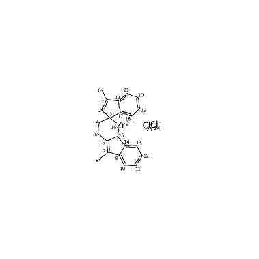 CC1=C[C]2(CCC3=C(C)c4ccccc4[CH]3[Zr+2]2)c2ccccc21.[Cl-].[Cl-]